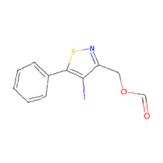 O=COCc1nsc(-c2ccccc2)c1I